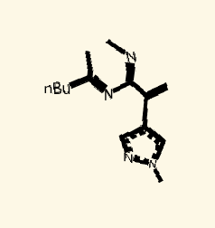 C=C(C(=N/C)/N=C(\C)CCCC)c1cnn(C)c1